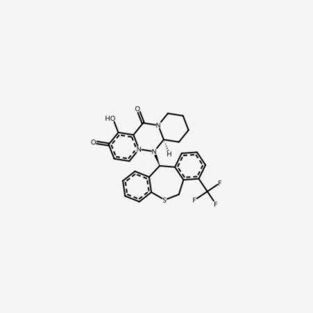 O=C1c2c(O)c(=O)ccn2N([C@@H]2c3ccccc3SCc3c2cccc3C(F)(F)F)[C@@H]2CCCCN12